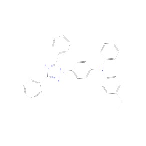 CCc1ccc(N(c2ccccc2)c2ccc(-n3nc(-c4ccccc4)nc3-c3ccccc3)cc2)cc1